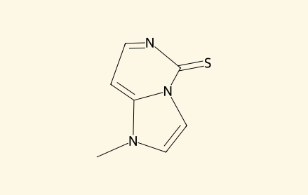 Cn1ccn2c(=S)nccc12